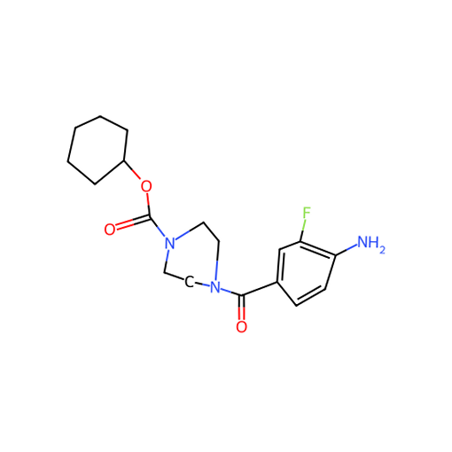 Nc1ccc(C(=O)N2CCN(C(=O)OC3CCCCC3)CC2)cc1F